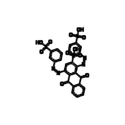 O=C1c2ccccc2C(=O)c2c(/N=N\c3cccc(S(=O)(=O)O)c3)c(S(=O)(=O)O)cc(/N=N\c3cccc(S(=O)(=O)O)c3)c21